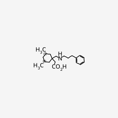 C[C@@H]1C[C@H](C)CC(CNCCCc2ccccc2)(CC(=O)O)C1